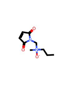 CCC[N+](C)([O-])CN1C(=O)C=CC1=O